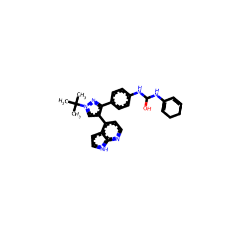 CC(C)(C)n1cc(-c2ccnc3[nH]ccc23)c(-c2ccc(NC(O)NC3=CCCC=C3)cc2)n1